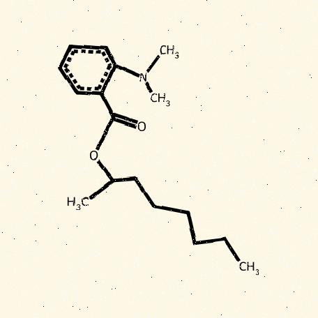 CCCCCCC(C)OC(=O)c1ccccc1N(C)C